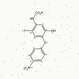 O=C(O)Nc1cc(O)c(Oc2ccc([N+](=O)[O-])cc2)cc1F